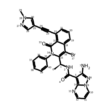 C[C@H](NC(=O)c1c(N)nn2cccnc12)c1c(Br)c2cccc(C#Cc3cnn(C)c3)c2c(=O)n1-c1ccccc1